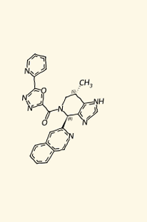 C[C@H]1CN(C(=O)c2nnc(-c3ccccn3)o2)[C@H](c2cc3ccccc3cn2)c2nc[nH]c21